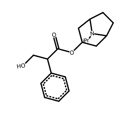 CC(C)N1C2CCC1CC(OC(=O)C(CO)c1ccccc1)C2